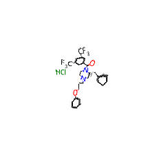 Cl.O=C(c1cc(C(F)(F)F)cc(C(F)(F)F)c1)N1CCN(CCCOc2ccccc2)C[C@H]1Cc1ccccc1